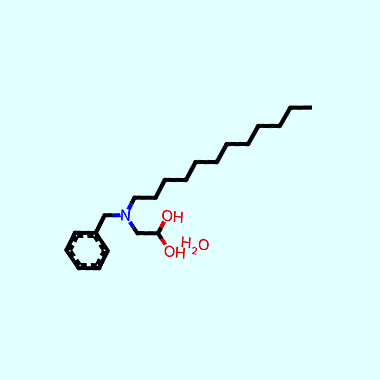 CCCCCCCCCCCCN(Cc1ccccc1)CC(O)O.O